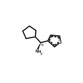 N[C@H](c1ccsc1)C1CCCC1